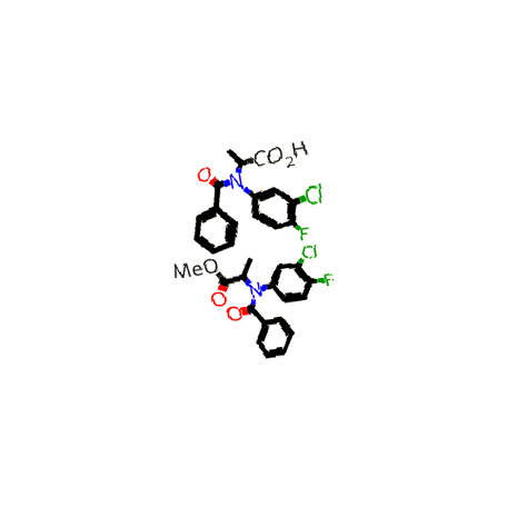 CC(C(=O)O)N(C(=O)c1ccccc1)c1ccc(F)c(Cl)c1.COC(=O)C(C)N(C(=O)c1ccccc1)c1ccc(F)c(Cl)c1